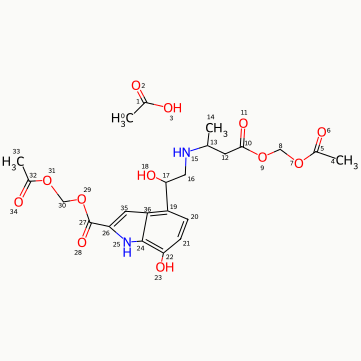 CC(=O)O.CC(=O)OCOC(=O)CC(C)NCC(O)c1ccc(O)c2[nH]c(C(=O)OCOC(C)=O)cc12